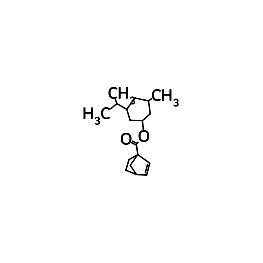 CC1CC(OC(=O)C23C=CC(CC2)C3)CC(C(C)C)C1